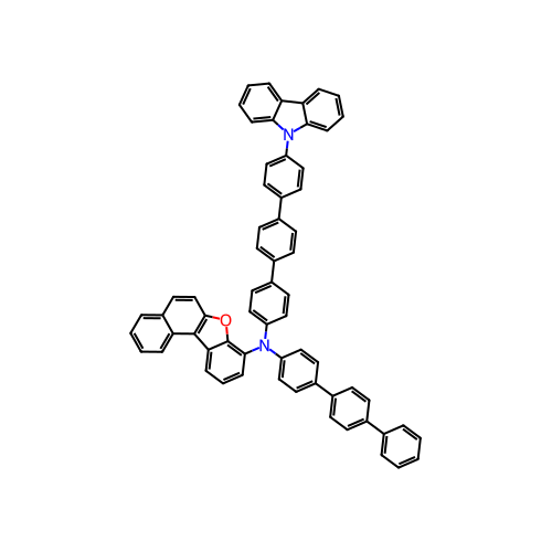 c1ccc(-c2ccc(-c3ccc(N(c4ccc(-c5ccc(-c6ccc(-n7c8ccccc8c8ccccc87)cc6)cc5)cc4)c4cccc5c4oc4ccc6ccccc6c45)cc3)cc2)cc1